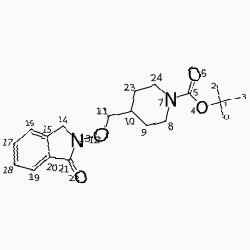 CC(C)(C)OC(=O)N1CCC(CON2Cc3ccccc3C2=O)CC1